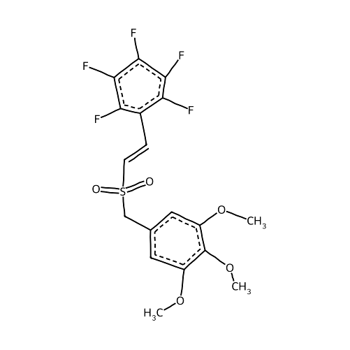 COc1cc(CS(=O)(=O)C=Cc2c(F)c(F)c(F)c(F)c2F)cc(OC)c1OC